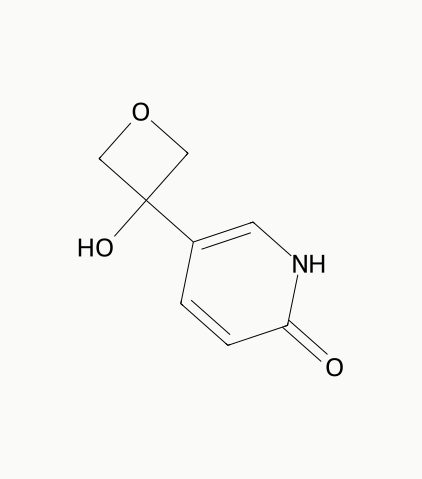 O=c1ccc(C2(O)COC2)c[nH]1